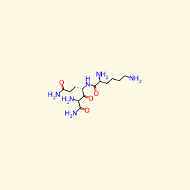 NCCCC[C@H](N)C(=O)N[C@@H](CCC(N)=O)C(=O)C(N)C(N)=O